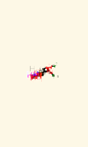 Cc1cc(OCCCCl)c(OCCCCl)cc1-c1ccc(S(=O)(=O)NCP(=O)(O)O)s1